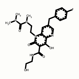 CN(C)C(=O)N(C)CCn1c(=O)c(C(=O)NCCO)c(O)c2ncc(Cc3ccc(F)cc3)cc21